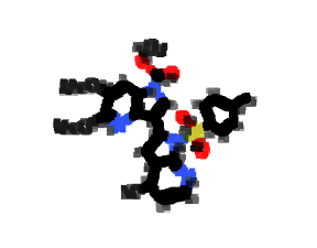 COc1cc2c(nc1OC)c(-c1cc3c(C#N)ccnc3n1S(=O)(=O)c1ccc(C)cc1)cn2C(=O)OC(C)(C)C